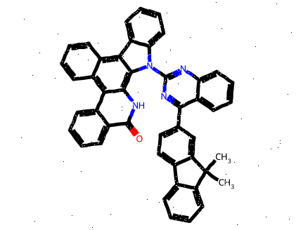 CC1(C)c2ccccc2-c2ccc(-c3nc(-n4c5ccccc5c5c6ccccc6c6c7ccccc7c(=O)[nH]c6c54)nc4ccccc34)cc21